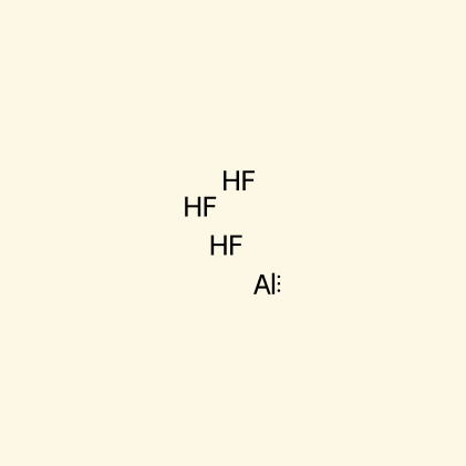 F.F.F.[Al]